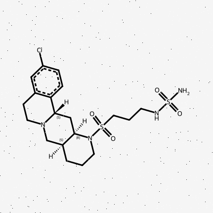 NS(=O)(=O)NCCCS(=O)(=O)N1CCC[C@H]2CN3CCc4cc(Cl)ccc4[C@@H]3C[C@H]21